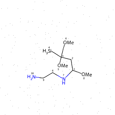 COC(CC([SiH3])(OC)OC)NCCN